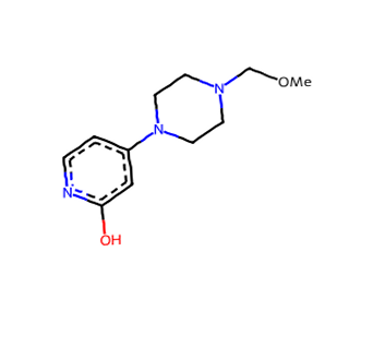 COCN1CCN(c2ccnc(O)c2)CC1